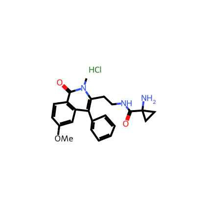 COc1ccc2c(=O)n(C)c(CCNC(=O)C3(N)CC3)c(-c3ccccc3)c2c1.Cl